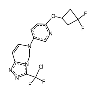 FC1(F)CC(Oc2ccc(N3C=Cc4nnc(C(F)(F)Cl)n4C3)cn2)C1